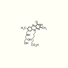 C=c1nc2c(c(=O)[nH]1)=Nc1cc(C)c(CNCC(O)CO)cc1N2CCCCCCC(=O)O